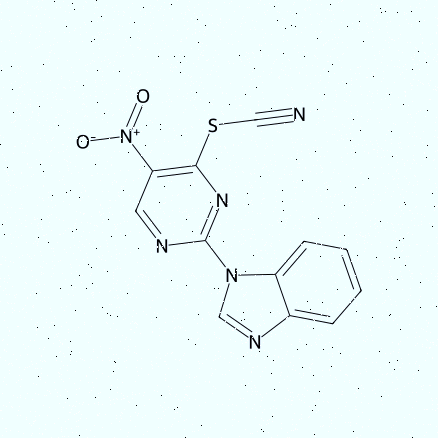 N#CSc1nc(-n2cnc3ccccc32)ncc1[N+](=O)[O-]